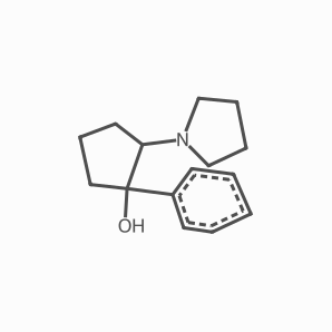 OC1(c2ccccc2)CCCC1N1CCCC1